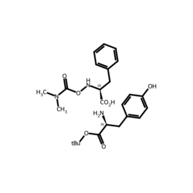 CC(C)(C)OC(=O)[C@@H](N)Cc1ccc(O)cc1.CN(C)C(=O)ON[C@@H](Cc1ccccc1)C(=O)O